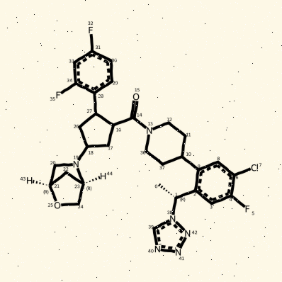 C[C@H](c1cc(F)c(Cl)cc1C1CCN(C(=O)C2CC(N3C[C@H]4C[C@@H]3CO4)CC2c2ccc(F)cc2F)CC1)n1cnnn1